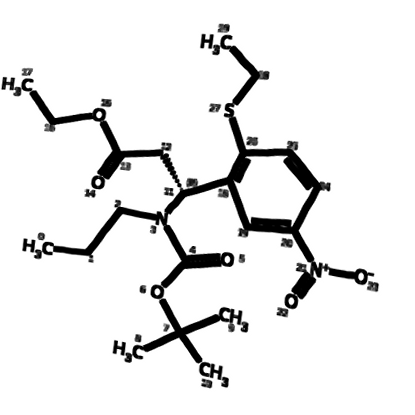 CCCN(C(=O)OC(C)(C)C)[C@H](CC(=O)OCC)c1cc([N+](=O)[O-])ccc1SCC